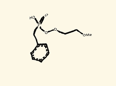 COCCOOP(=O)(O)Cc1ccccc1